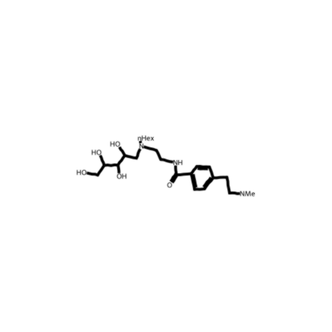 CCCCCCN(CCNC(=O)c1ccc(CCNC)cc1)CC(O)C(O)C(O)CO